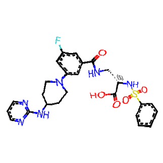 O=C(NC[C@H](NS(=O)(=O)c1ccccc1)C(=O)O)c1cc(F)cc(N2CCC(Nc3ncccn3)CC2)c1